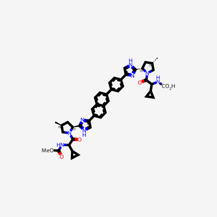 COC(=O)NC(C(=O)N1C[C@@H](C)C[C@H]1c1nc(-c2ccc3cc(-c4ccc(-c5c[nH]c([C@@H]6C[C@H](C)CN6C(=O)C(NC(=O)O)C6CC6)n5)cc4)ccc3c2)c[nH]1)C1CC1